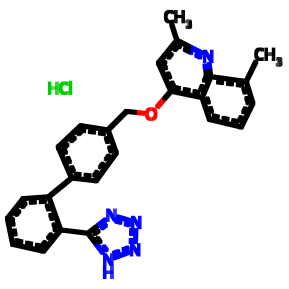 Cc1cc(OCc2ccc(-c3ccccc3-c3nnn[nH]3)cc2)c2cccc(C)c2n1.Cl